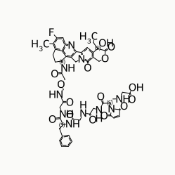 CC[C@@]1(O)C(=O)OCc2c1cc1n(c2=O)Cc2c-1nc1cc(F)c(C)c3c1c2[C@H](NC(=O)COCNC(=O)CNC(=O)[C@H](Cc1ccccc1)NC(=O)CNC(=O)CNC(=O)[C@H](CNCC(=O)O)N1C(=O)C=CC1=O)CC3